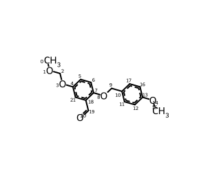 COCOc1ccc(OCc2ccc(OC)cc2)c(C=O)c1